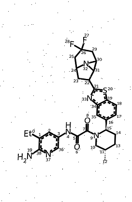 CCc1cc(NC(=O)C(=O)N2C[C@@H](C)CC[C@@H]2c2ccc3sc(C4CC5CC(F)(F)CC6C4N56)nc3c2)cnc1N